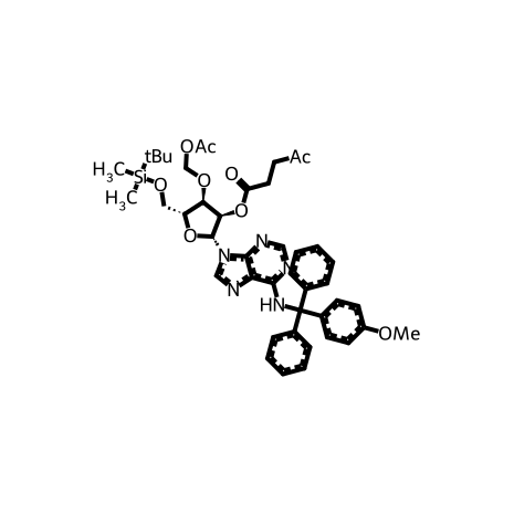 COc1ccc(C(Nc2ncnc3c2ncn3[C@@H]2O[C@H](CO[Si](C)(C)C(C)(C)C)[C@@H](OCOC(C)=O)[C@H]2OC(=O)CCC(C)=O)(c2ccccc2)c2ccccc2)cc1